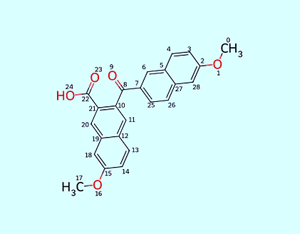 COc1ccc2cc(C(=O)c3cc4ccc(OC)cc4cc3C(=O)O)ccc2c1